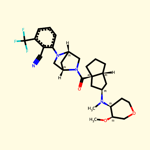 CO[C@@H]1COCC[C@@H]1N(C)[C@@H]1C[C@H]2CCC[C@@]2(C(=O)N2C[C@@H]3C[C@H]2CN3c2cccc(C(F)(F)F)c2C#N)C1